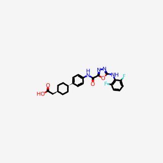 O=C(O)C[C@H]1CC[C@H](c2ccc(NC(=O)c3nnc(Nc4c(F)cccc4F)o3)cc2)CC1